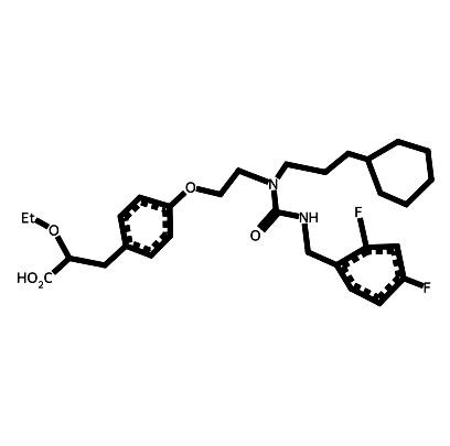 CCOC(Cc1ccc(OCCN(CCCC2CCCCC2)C(=O)NCc2ccc(F)cc2F)cc1)C(=O)O